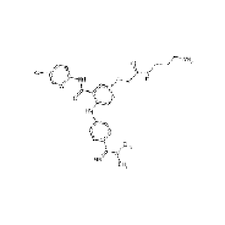 CN(C)C(=N)c1ccc(Nc2ccc(OCC(=O)NCCCN)cc2C(=O)Nc2ccc(Cl)cn2)cc1